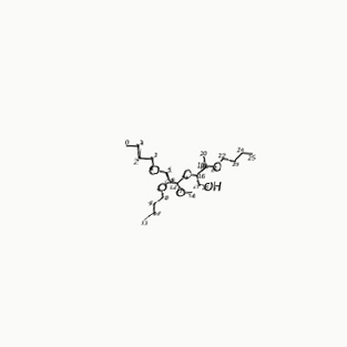 CCCCOC[C@H](OCCCC)C(OC)OC(CO)[C@@H](C)OCCCC